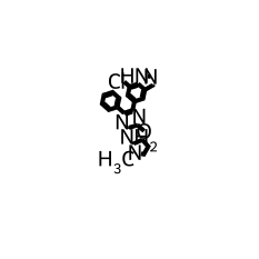 CN1CCC(Oc2nc(-c3cc(Cl)c4[nH]ncc4c3)c(-c3ccccc3)nc2N)C1